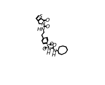 O=C(NC1CCCCCCC1)NS(=O)(=O)c1ccc(CCNC(=O)N2Cc3ccsc3C2=O)cc1